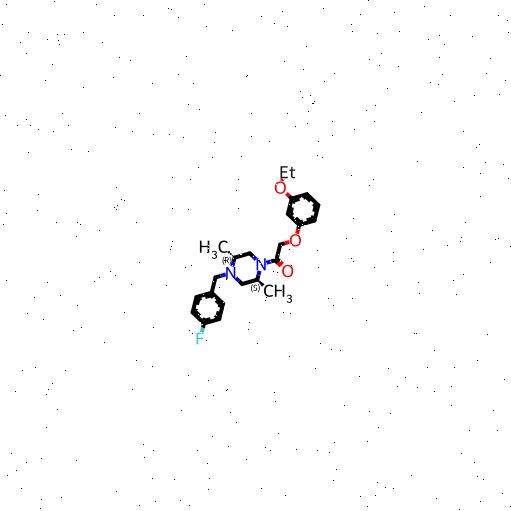 CCOc1cccc(OCC(=O)N2C[C@@H](C)N(Cc3ccc(F)cc3)C[C@@H]2C)c1